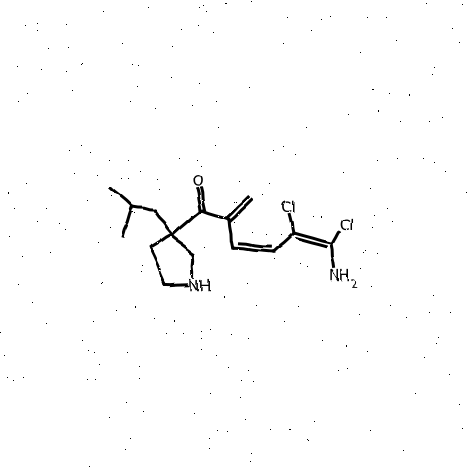 C=C(/C=C\C(Cl)=C(/N)Cl)C(=O)C1(CC(C)C)CCNC1